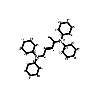 CC(C=CCN(C1CCCCC1)C1CCCCC1)N(C1CCCCC1)C1CCCCC1